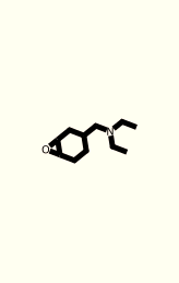 CCN(CC)CC1CCC2OC2C1